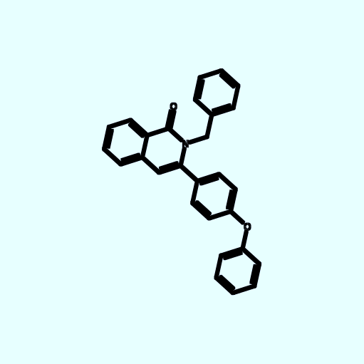 O=c1c2ccccc2cc(-c2ccc(Oc3ccccc3)cc2)n1Cc1ccccc1